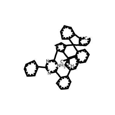 CC1(C)c2ccccc2C2(c3ccccc3-c3ccccc32)c2cccc(-c3nc(-c4ccccc4)nc(-c4ccccc4-c4ccccc4)n3)c21